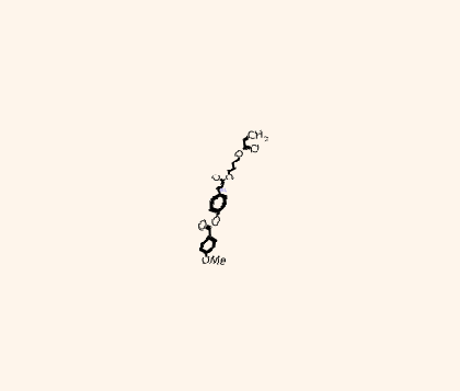 C=CC(=O)OCCCCOC(=O)/C=C/c1ccc(OC(=O)c2ccc(OC)cc2)cc1